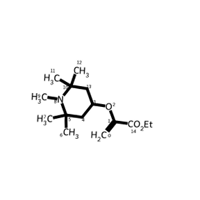 C=C(OC1CC(C)(C)N(C)C(C)(C)C1)C(=O)OCC